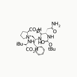 CC[C@H](C)[C@H](N[N+]1(C[C@H](Cc2ccccc2)NC(=O)[C@H](CC(N)=O)NC(=O)OC(C)(C)C)CCC[C@H]1C(=O)O)C(=O)O